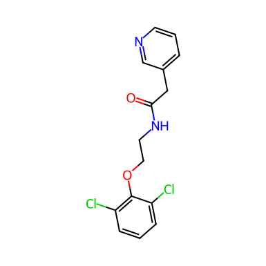 O=C(Cc1cccnc1)NCCOc1c(Cl)cccc1Cl